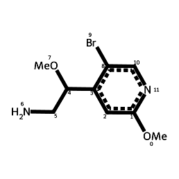 COc1cc(C(CN)OC)c(Br)cn1